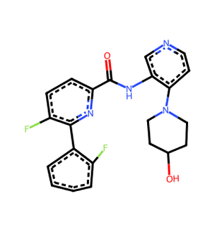 O=C(Nc1cnccc1N1CCC(O)CC1)c1ccc(F)c(-c2ccccc2F)n1